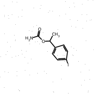 CC(OC(N)=O)c1ccc(I)cc1